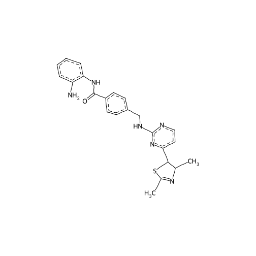 CC1=NC(C)C(c2ccnc(NCc3ccc(C(=O)Nc4ccccc4N)cc3)n2)S1